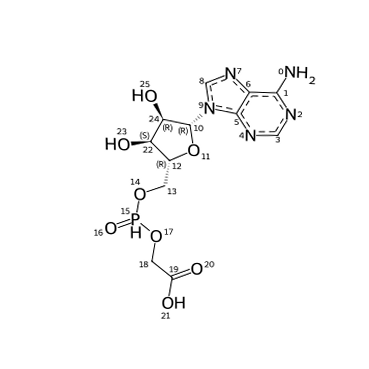 Nc1ncnc2c1ncn2[C@@H]1O[C@H](CO[PH](=O)OCC(=O)O)[C@@H](O)[C@H]1O